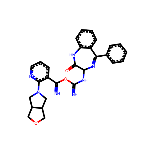 N=C(NC1N=C(c2ccccc2)c2ccccc2NC1=O)OC(=N)c1cccnc1N1CC2COCC2C1